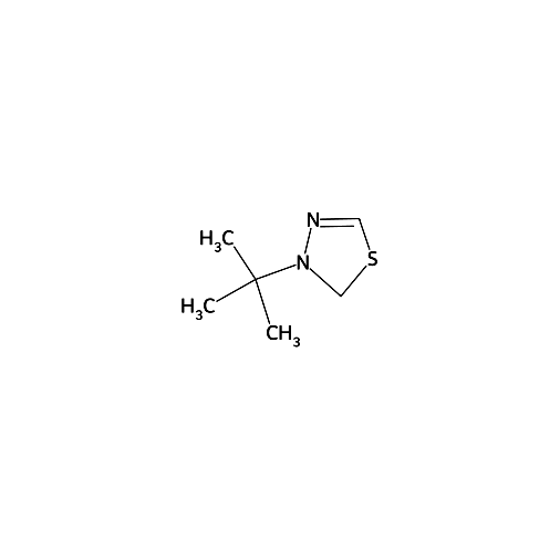 CC(C)(C)N1CSC=N1